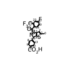 Cc1cc2c(s1)c(-c1ccc(C(=O)O)cc1)nn2C(=O)c1ccc(F)cc1C(F)(F)F